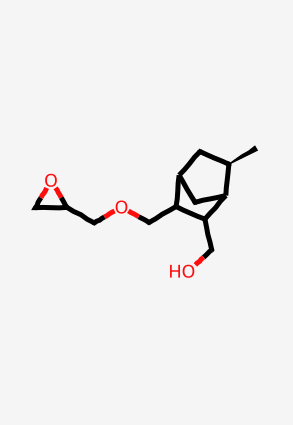 C[C@@H]1CC2CC1C(CO)C2COCC1CO1